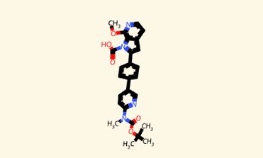 COc1nccc2cc(-c3ccc(-c4ccc(N(C)C(=O)OC(C)(C)C)nc4)cc3)n(C(=O)O)c12